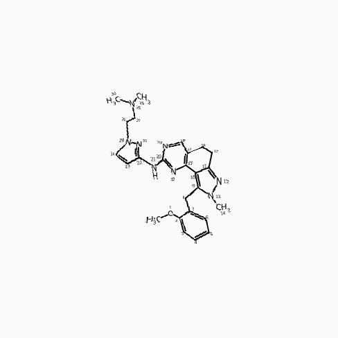 COc1ccccc1Cc1c2c(nn1C)CCc1cnc(Nc3ccn(CCN(C)C)n3)nc1-2